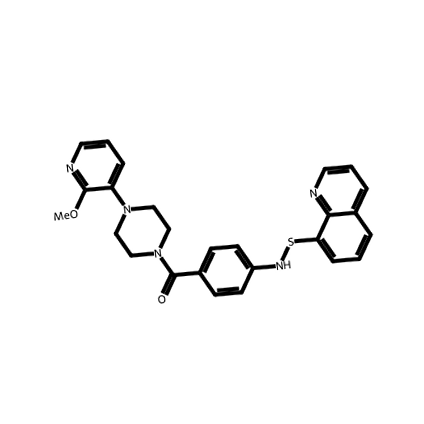 COc1ncccc1N1CCN(C(=O)c2ccc(NSc3cccc4cccnc34)cc2)CC1